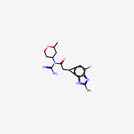 CC1CC(N(C(=N)N)C(=O)CC2c3cc(F)c4nc(C(C)(C)C)[nH]c4c32)CCO1